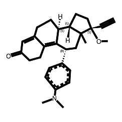 C#C[C@]1(OC)CC[C@H]2[C@@H]3CCC4=CC(=O)CCC4=C3[C@@H](c3ccc(N(C)C)cc3)CC21C